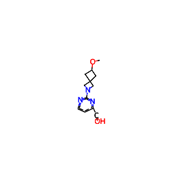 COC1CC2(C1)CN(c1nccc(CO)n1)C2